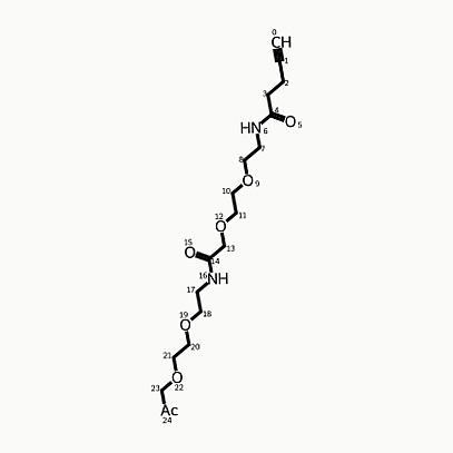 C#CCCC(=O)NCCOCCOCC(=O)NCCOCCOCC(C)=O